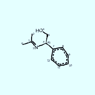 CC(C)=N[C@@H](CO)c1ccccc1